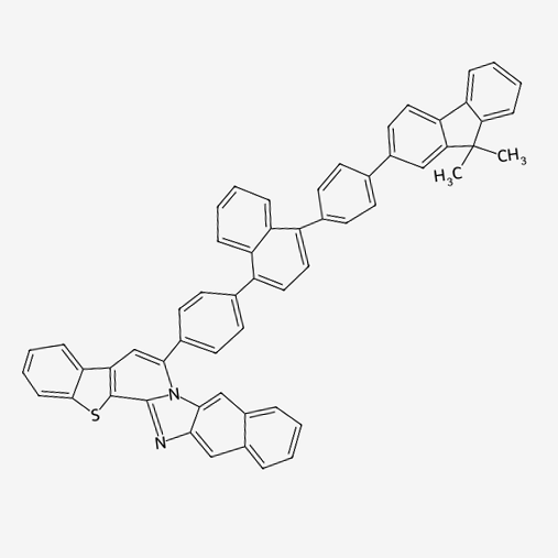 CC1(C)c2ccccc2-c2ccc(-c3ccc(-c4ccc(-c5ccc(-c6cc7c8ccccc8sc7c7nc8cc9ccccc9cc8n67)cc5)c5ccccc45)cc3)cc21